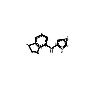 c1cc2c(c(Nc3c[nH]cn3)c1)CCC2